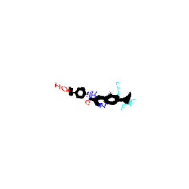 CC(C)(O)[C@H]1CC[C@H](NC(=O)c2cnc3cc(C4CC4(F)F)c(F)cc3c2)CC1